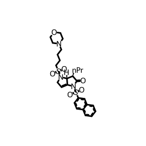 CCC[C@H]1C(=O)N(S(=O)(=O)c2ccc3ccccc3c2)C2=CCN(S(=O)(=O)CCCCN3CCOCC3)[C@@H]21